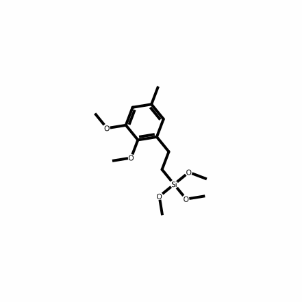 COc1cc(C)cc(CC[Si](OC)(OC)OC)c1OC